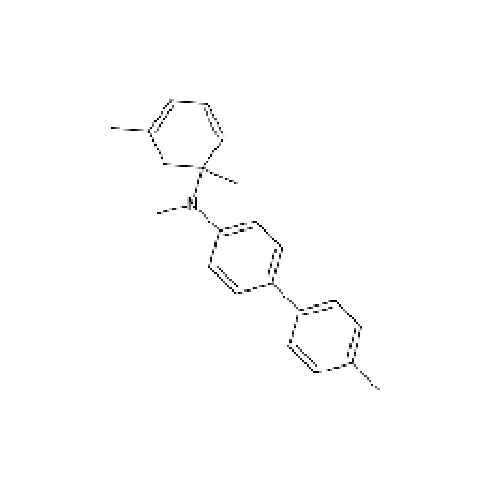 CC1=CC=CC(C)(N(C)c2ccc(-c3ccc(C)cc3)cc2)C1